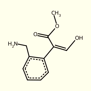 COC(=O)C(=CO)c1ccccc1CN